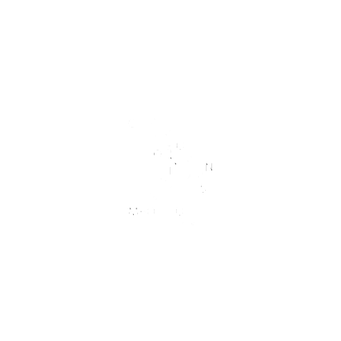 COc1cccc(-c2c(-c3ccco3)sc3nc(C)cc(NS(=O)(=O)c4cccc(Cl)c4)c23)c1